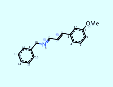 COc1cccc(/C=C/C=N/Cc2ccccc2)c1